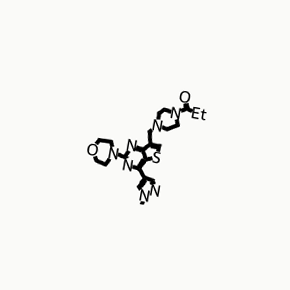 CCC(=O)N1CCN(Cc2csc3c(-c4cnn(C)c4)nc(N4CCOCC4)nc23)CC1